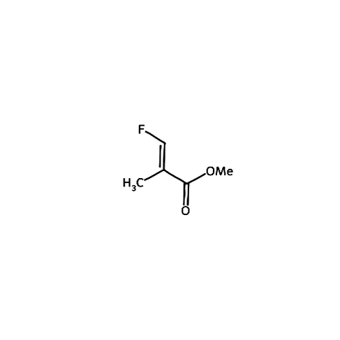 COC(=O)C(C)=CF